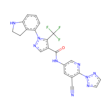 N#Cc1cc(NC(=O)c2cnn(-c3cccc4c3CCN4)c2C(F)(F)F)cnc1-n1nccn1